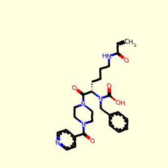 C=CC(=O)NCCCC[C@@H](C(=O)N1CCN(C(=O)c2ccncc2)CC1)N(Cc1ccccc1)C(=O)O